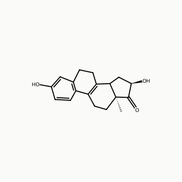 C[C@]12CCC3=C(CCc4cc(O)ccc43)C1C[C@@H](O)C2=O